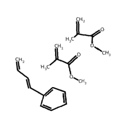 C=C(C)C(=O)OC.C=C(C)C(=O)OC.C=CC=Cc1ccccc1